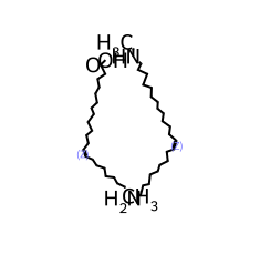 CCCCCCCC/C=C\CCCCCCCCCCCC(=O)O.CCNCCCCCCCCCCCC/C=C\CCCCCCCCN